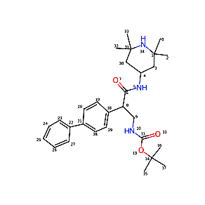 CC1(C)CC(NC(=O)C(CNC(=O)OC(C)(C)C)c2ccc(-c3ccccc3)cc2)CC(C)(C)N1